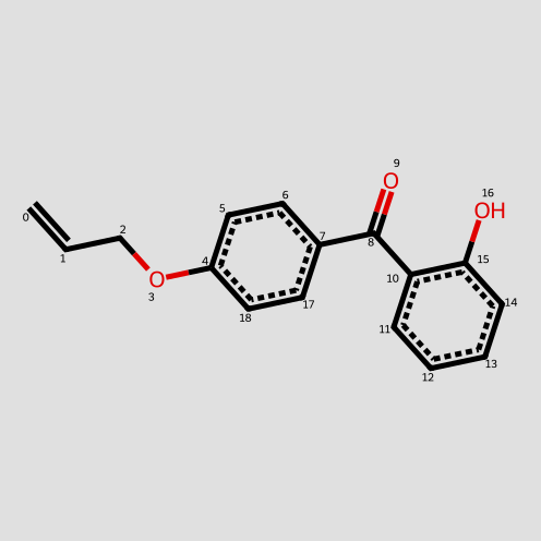 C=CCOc1ccc(C(=O)c2ccccc2O)cc1